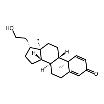 C[C@]12CC[C@H]3[C@@H](CCC4=CC(=O)C=C[C@@]43C)[C@@H]1CC[C@@H]2CCO